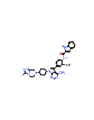 COc1cc(-c2cn([C@H]3CC[C@H](N4CCn5c(nnc5C(C)C)C4)CC3)c3ncnc(N)c23)ccc1NC(=O)c1cc2ccccc2n1C